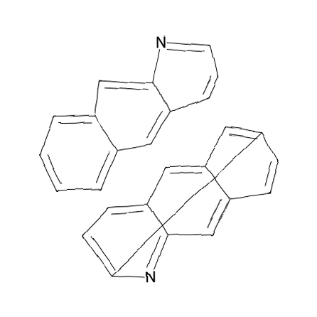 c1cc2cc3nc4ccc3cc2cc1-4.c1ccc2cc3ncccc3cc2c1